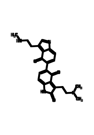 CNCCC1=C2C(=O)C(C3=CC=C4NC(=O)C(CCN(C)C)=C4C3=O)=CC=C2N=C1